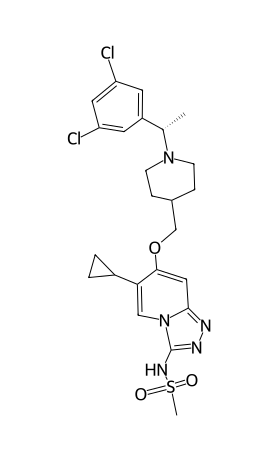 C[C@@H](c1cc(Cl)cc(Cl)c1)N1CCC(COc2cc3nnc(NS(C)(=O)=O)n3cc2C2CC2)CC1